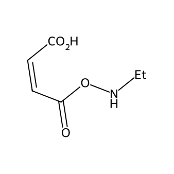 CCNOC(=O)/C=C\C(=O)O